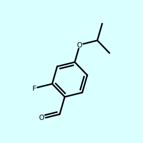 CC(C)Oc1ccc(C=O)c(F)c1